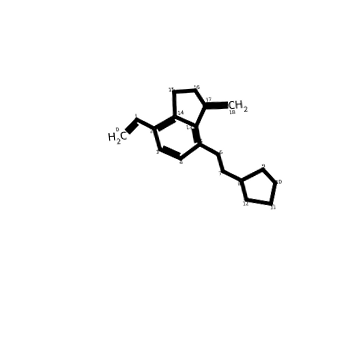 C=Cc1ccc(CCC2CCCC2)c2c1CCC2=C